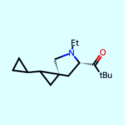 CCN1C[C@@]2(CC2C2CC2)C[C@H]1C(=O)C(C)(C)C